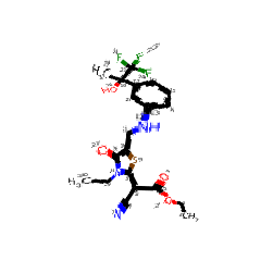 CCOC(=O)C(C#N)=c1sc(=CNc2cccc(C(C)(O)C(F)(F)F)c2)c(=O)n1CC